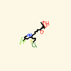 CC(C)(O)CC(=O)CCCCc1nn2ccc(C(F)(F)F)cc2c1-c1ccc(Cl)s1